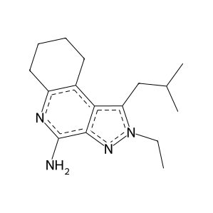 CCn1nc2c(N)nc3c(c2c1CC(C)C)CCCC3